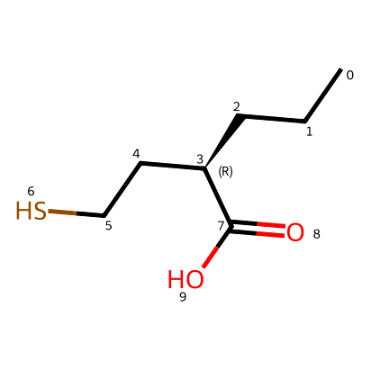 CCC[C@H](CCS)C(=O)O